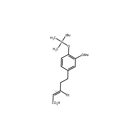 CC/C(=C\C(=O)O)CCc1ccc(O[Si](C)(C)C(C)(C)C)c(OC)c1